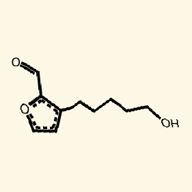 O=Cc1occc1CCCCCO